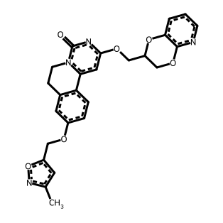 Cc1cc(COc2ccc3c(c2)CCn2c-3cc(OCC3COc4ncccc4O3)nc2=O)on1